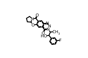 CC(C(O)c1cccc(F)c1)n1nnc2cc3c(cc2c1=O)OC1CCCN1C3=O